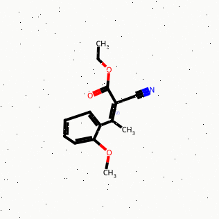 CCOC(=O)/C(C#N)=C(/C)c1ccccc1OC